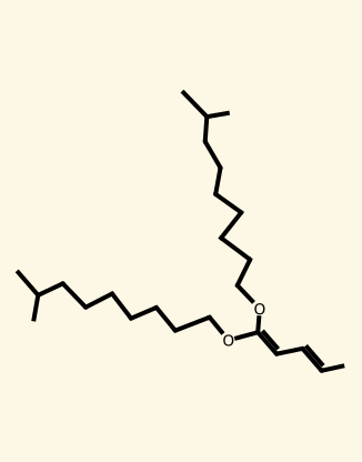 CC=CC=C(OCCCCCCCC(C)C)OCCCCCCCC(C)C